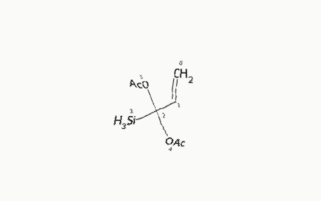 C=CC([SiH3])(OC(C)=O)OC(C)=O